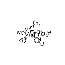 Cc1cc([C@@H](C)Nc2ccc(Cl)nc2C(=O)O)c2nc([C@H]3CCOC3)c(C#N)nc2c1